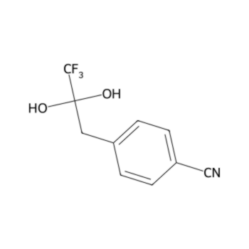 N#Cc1ccc(CC(O)(O)C(F)(F)F)cc1